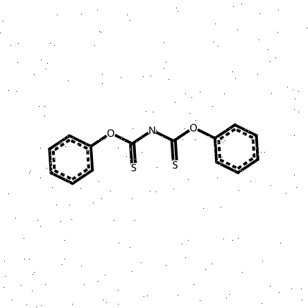 S=C([N]C(=S)Oc1ccccc1)Oc1ccccc1